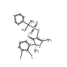 BC(B)(c1ccccc1)S(=O)(=O)OC1=C(N)O[C@@](B)(c2cccc(F)c2F)C1=O